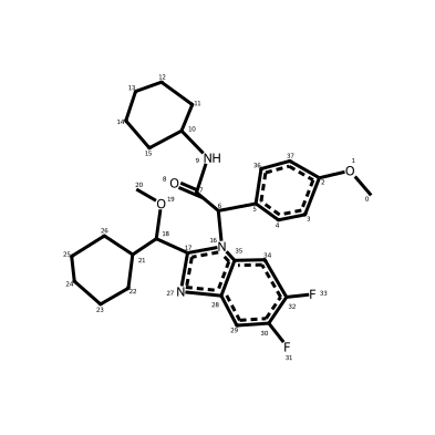 COc1ccc(C(C(=O)NC2CCCCC2)n2c(C(OC)C3CCCCC3)nc3cc(F)c(F)cc32)cc1